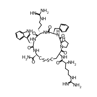 N=C(N)NCCC[C@@H]1NC(=O)[C@@H](Cc2ccccc2)NC(=O)[C@@H]2CCCN2C(=O)[C@@H](NC(=O)[C@@H](N)CCCNC(=N)N)CCSSC[C@@H](C(N)=O)NC(=O)[C@H](Cc2c[nH]c3ccccc23)NC1=O